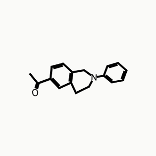 CC(=O)c1ccc2c(c1)CCN(c1ccccc1)C2